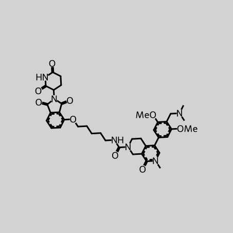 COc1cc(-c2cn(C)c(=O)c3c2CCN(C(=O)NCCCCCOc2cccc4c2C(=O)N(C2CCC(=O)NC2=O)C4=O)C3)cc(OC)c1CN(C)C